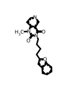 Cn1c(=O)n(CCCCc2cc3ccccc3o2)c(=O)c2cnccc21